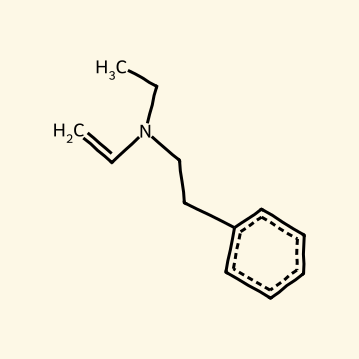 C=CN(CC)CCc1ccccc1